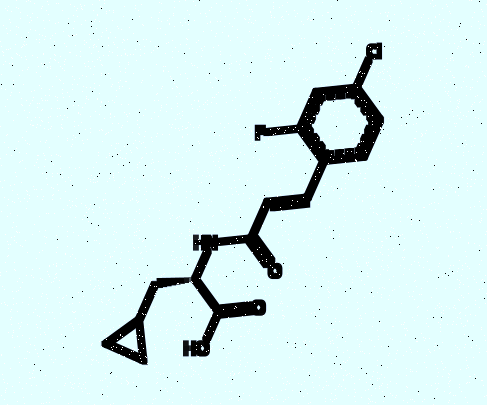 O=C(/C=C/c1ccc(Cl)cc1F)N[C@@H](CC1CC1)C(=O)O